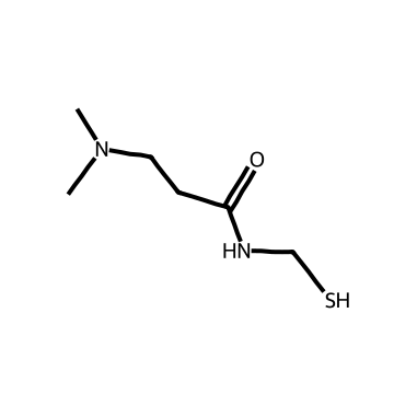 CN(C)CCC(=O)NCS